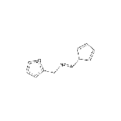 C1=CC(/C=N/Cc2ccco2)C=C1